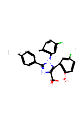 COc1ccc(Cl)cc1-c1c(C(=O)O)nc(-c2ccc(C)cc2)n1-c1cc(Cl)ccc1C